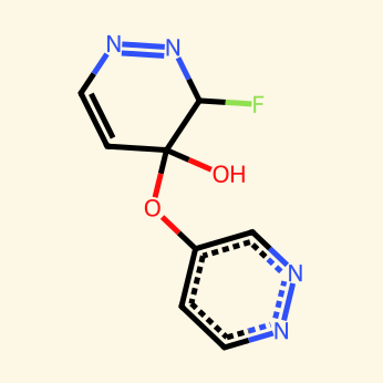 OC1(Oc2ccnnc2)C=CN=NC1F